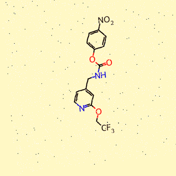 O=C(NCc1ccnc(OCC(F)(F)F)c1)Oc1ccc([N+](=O)[O-])cc1